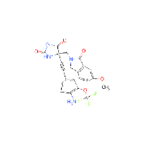 COc1ccc2c(c1)C(=O)N(C[C@@]1(C#Cc3ccc(N)c(OC(F)(F)F)c3)NC(=O)NC1=O)C2